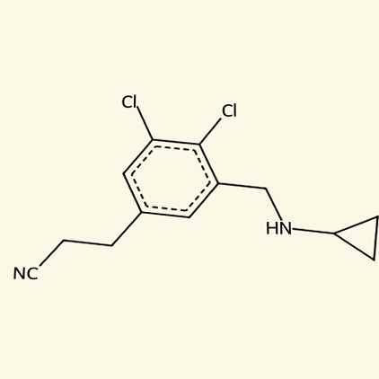 N#CCCc1cc(Cl)c(Cl)c(CNC2CC2)c1